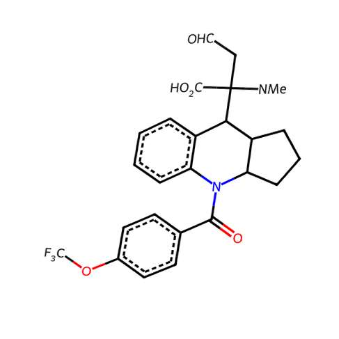 CNC(CC=O)(C(=O)O)C1c2ccccc2N(C(=O)c2ccc(OC(F)(F)F)cc2)C2CCCC21